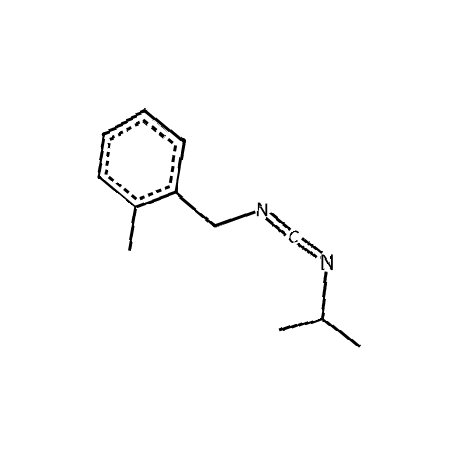 Cc1ccccc1CN=C=NC(C)C